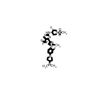 Cc1nc(-c2nc(N[C@H]3CCN(S(C)(=O)=O)C[C@H]3F)ncc2C(F)(F)F)cn1-c1ccc(N2CCC(N(C)C)CC2)cc1F